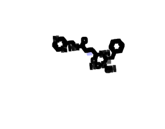 O=C(/C=C/C(=O)N[C@@H](Cc1ccccc1)B(O)O)NCc1cnccn1